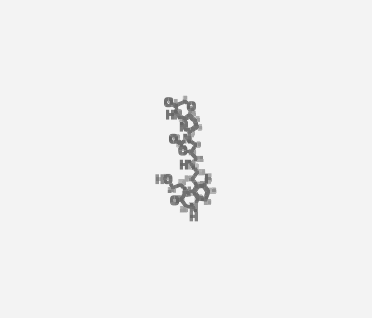 O=C1COc2ccc(N3CC(CNCCc4c(F)ccc5c4N(CCO)C(=O)CN5)OC3=O)nc2N1